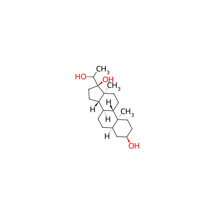 CC(O)[C@@]1(O)CC[C@H]2[C@@H]3CC[C@@H]4C[C@H](O)CC[C@]4(C)[C@H]3CC[C@@]21C